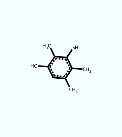 Cc1cc(O)c(C)c(S)c1C